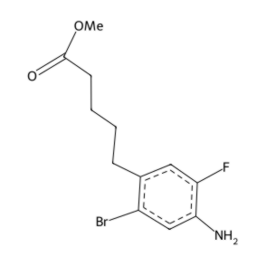 COC(=O)CCCCc1cc(F)c(N)cc1Br